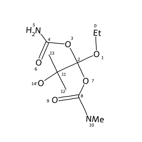 CCOC(OC(N)=O)(OC(=O)NC)C(C)(C)[O]